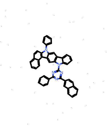 c1ccc(-c2nc(-c3ccc4ccccc4c3)nc(-n3c4ccccc4c4cc5c(cc43)c3c4ccccc4ccc3n5-c3ccccc3)n2)cc1